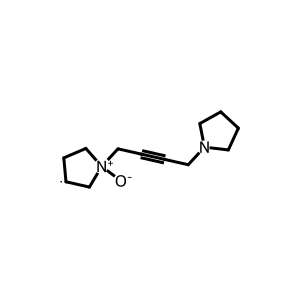 [O-][N+]1(CC#CCN2CCCC2)C[CH]CC1